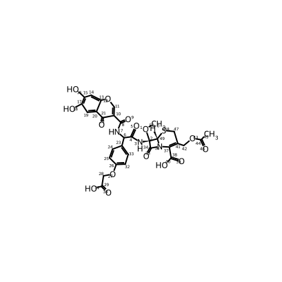 CO[C@@]1(NC(=O)C(NC(=O)c2coc3cc(O)c(O)cc3c2=O)c2ccc(OCC(=O)O)cc2)C(=O)N2C(C(=O)O)=C(COC(C)=O)CS[C@H]21